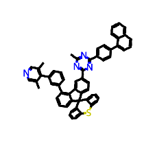 Cc1nc(-c2ccc(-c3cccc4ccccc34)cc2)nc(-c2ccc3c(c2)-c2c(-c4cccc(-c5c(C)cncc5C)c4)cccc2C32c3ccccc3Sc3ccccc32)n1